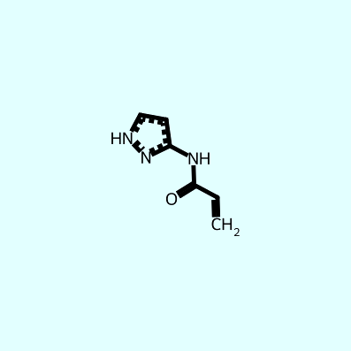 C=CC(=O)Nc1cc[nH]n1